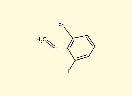 [CH2]C(C)c1cccc(I)c1C=C